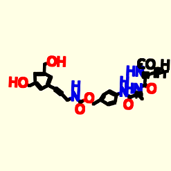 CC(C)[C@H](NC(=O)O)C(=O)N[C@@H](C)C(=O)Nc1ccc(COC(=O)NCC#Cc2cc(CO)cc(CO)c2)cc1